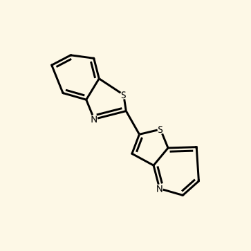 c1ccc2sc(-c3cc4ncccc4s3)nc2c1